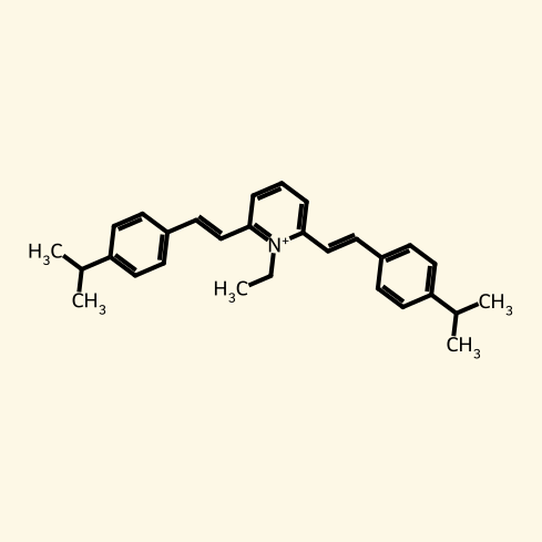 CC[n+]1c(/C=C/c2ccc(C(C)C)cc2)cccc1/C=C/c1ccc(C(C)C)cc1